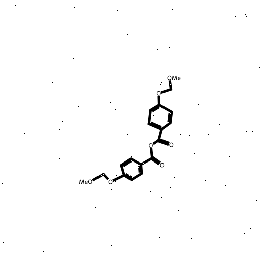 COCOc1ccc(C(=O)OC(=O)c2ccc(OCOC)cc2)cc1